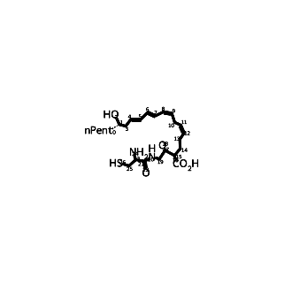 CCCCC[C@H](O)C/C=C/C=C/C=C\C/C=C\CCC(C(=O)O)C(=O)CNC(=O)C(N)CS